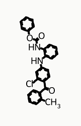 Cc1ccccc1C(=O)c1ccc(Nc2ccccc2NC(=O)Oc2ccccc2)cc1Cl